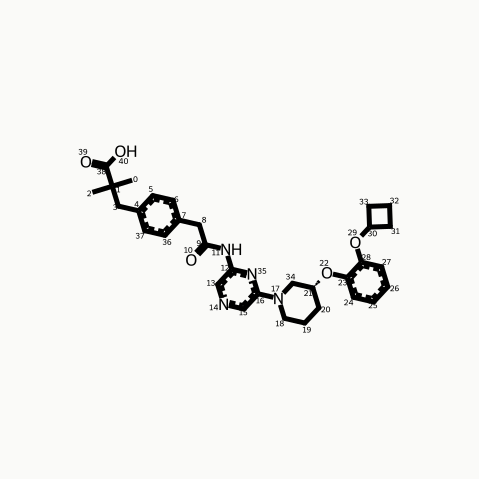 CC(C)(Cc1ccc(CC(=O)Nc2cncc(N3CCC[C@@H](Oc4ccccc4OC4CCC4)C3)n2)cc1)C(=O)O